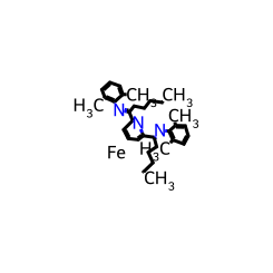 CCCCCC(=Nc1c(C)cccc1C)c1cccc(C(CCCCC)=Nc2c(C)cccc2C)n1.[Fe]